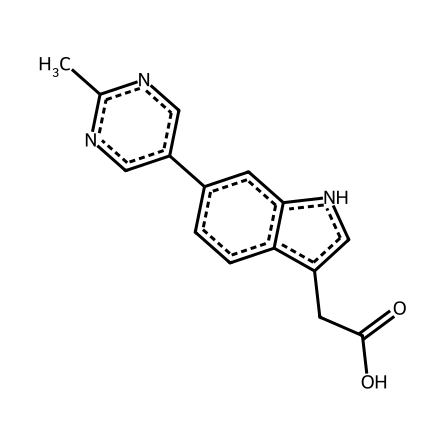 Cc1ncc(-c2ccc3c(CC(=O)O)c[nH]c3c2)cn1